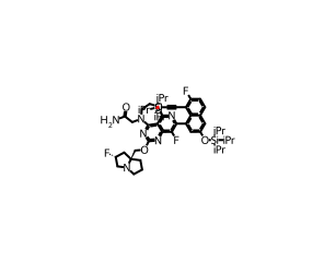 CC(C)[Si](C#Cc1c(F)ccc2cc(O[Si](C(C)C)(C(C)C)C(C)C)cc(-c3nc4c5c(nc(OC[C@@]67CCCN6C[C@H](F)C7)nc5c3F)N(CC(N)=O)CCO4)c12)(C(C)C)C(C)C